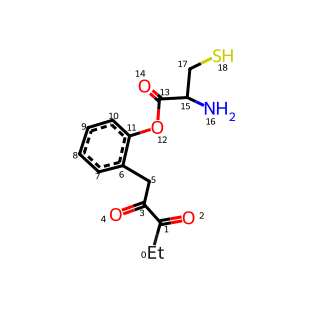 CCC(=O)C(=O)Cc1ccccc1OC(=O)C(N)CS